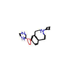 C1=CC(N2CCc3ccc(Oc4cnccn4)cc3CC2)=C1